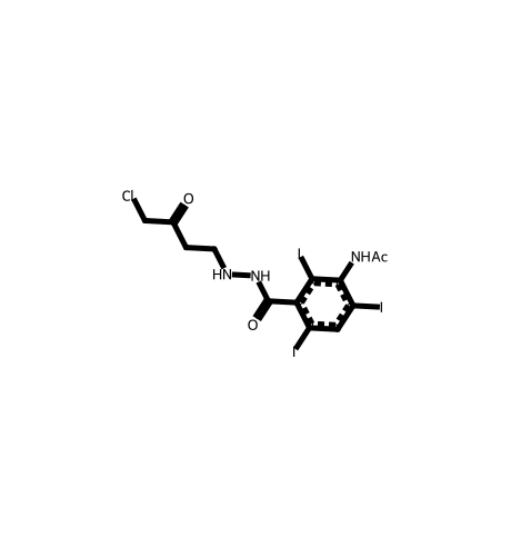 CC(=O)Nc1c(I)cc(I)c(C(=O)NNCCC(=O)CCl)c1I